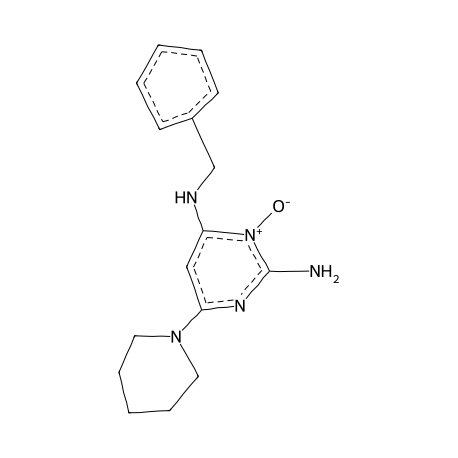 Nc1nc(N2CCCCC2)cc(NCc2ccccc2)[n+]1[O-]